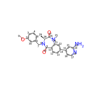 COc1cccc(CN2C(=O)c3ccc(-c4ccnc(N)c4)cc3N(C)C(=O)[C@@H]2C)c1